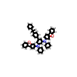 CC(C)(c1ccccc1)c1ccc(-c2cc(N(c3ccccc3)c3ccc4c(c3)oc3ccccc34)cc(N(c3ccccc3)c3ccc4c(c3)oc3ccccc34)c2)cc1